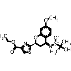 CCOC(=O)c1csc([C@@H]2C/C(=N/[S+]([O-])C(C)(C)C)c3ccc(OC)cc3O2)n1